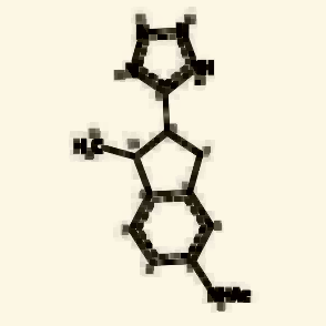 CC(=O)Nc1ccc2c(c1)CC(c1nnn[nH]1)C2C